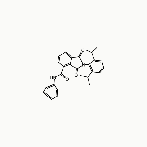 CC(C)c1cccc(C(C)C)c1N1C(=O)c2cccc(C(=O)Nc3ccccc3)c2C1=O